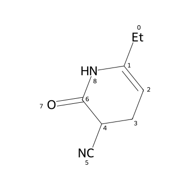 CCC1=CCC(C#N)C(=O)N1